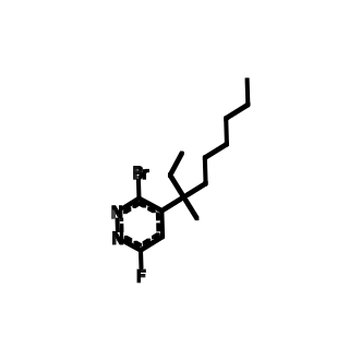 CCCCCCC(C)(CC)c1cc(F)nnc1Br